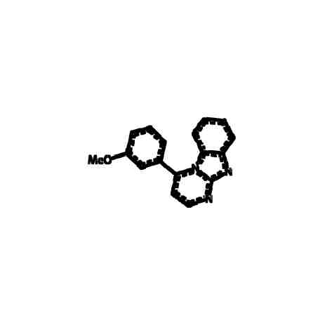 COc1cccc(-c2ccnc3nc4ccccc4n23)c1